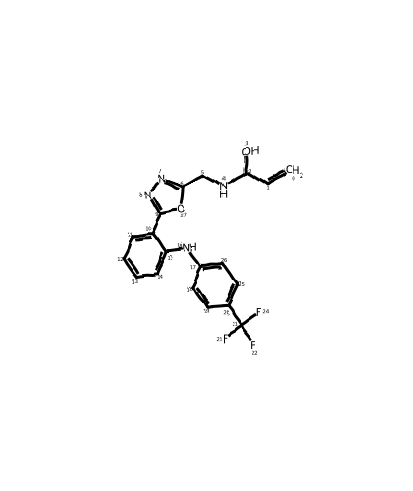 C=CC(O)NCc1nnc(-c2ccccc2Nc2ccc(C(F)(F)F)cc2)o1